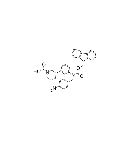 Nc1ccc(CN(C(=O)OCC2c3ccccc3-c3ccccc32)c2cccc(C3CCCN(C(=O)O)C3)c2)cc1